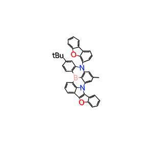 Cc1cc2c3c(c1)-n1c4c(cccc4c4oc5ccccc5c41)B3c1ccc(C(C)(C)C)cc1N2c1cccc2c1oc1ccccc12